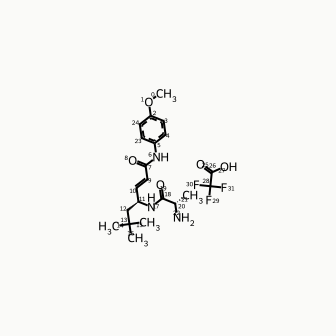 COc1ccc(NC(=O)/C=C/[C@H](CC(C)(C)C)NC(=O)[C@H](C)N)cc1.O=C(O)C(F)(F)F